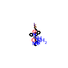 C[C@H](NC(=O)c1c(N)nn2cccnc12)c1cc2cccc(C#CCSI)c2c(=O)n1-c1ccccc1